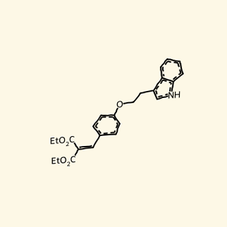 CCOC(=O)C(=Cc1ccc(OCCc2c[nH]c3ccccc23)cc1)C(=O)OCC